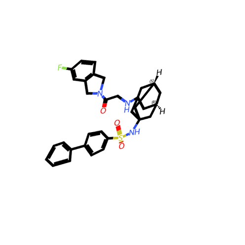 O=C(CNC12C[C@H]3C[C@@H](C1)CC(NS(=O)(=O)c1ccc(-c4ccccc4)cc1)(C3)C2)N1Cc2ccc(F)cc2C1